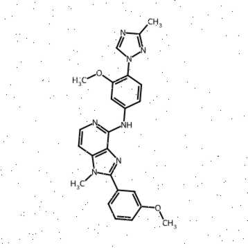 COc1cccc(-c2nc3c(Nc4ccc(-n5cnc(C)n5)c(OC)c4)nccc3n2C)c1